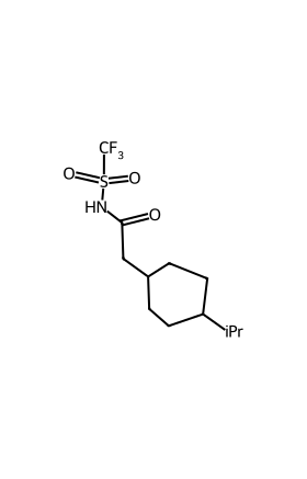 CC(C)C1CCC(CC(=O)NS(=O)(=O)C(F)(F)F)CC1